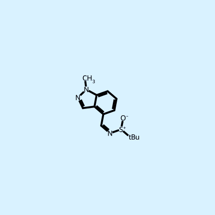 Cn1ncc2c(/C=N\[S+]([O-])C(C)(C)C)cccc21